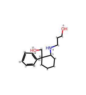 OCCCNC1CCCCC1(CO)c1ccccc1